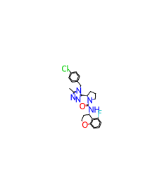 Cc1nnc([C@H]2CCCN2C(=O)N[C@H]2CCOc3cccc(F)c32)n1Cc1ccc(Cl)cc1